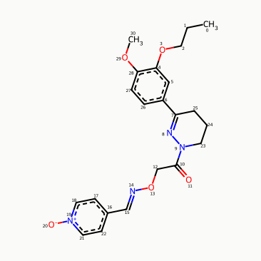 CCCOc1cc(C2=NN(C(=O)CON=Cc3cc[n+]([O-])cc3)CCC2)ccc1OC